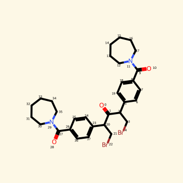 O=C(C(CBr)c1ccc(C(=O)N2CCCCCC2)cc1)C(CBr)c1ccc(C(=O)N2CCCCCC2)cc1